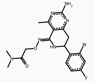 Cc1nc(N)nc2c1/C(=N/OCC(=O)N(C)C)NC(c1ccc(F)cc1Br)C2